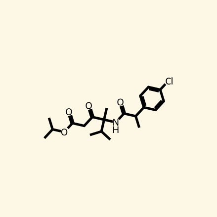 CC(C)OC(=O)CC(=O)C(C)(NC(=O)C(C)c1ccc(Cl)cc1)C(C)C